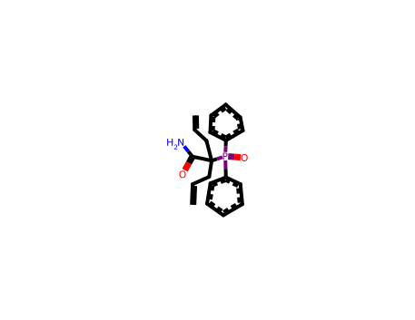 C=CCC(CC=C)(C(N)=O)P(=O)(c1ccccc1)c1ccccc1